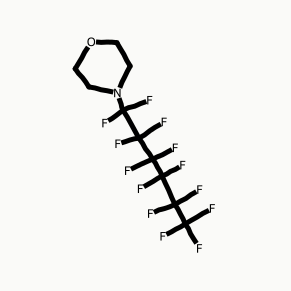 FC(F)(F)C(F)(F)C(F)(F)C(F)(F)C(F)(F)C(F)(F)N1CCOCC1